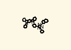 C1=Cc2c(c3cc4c5ccccc5n(-c5cccc(-c6nc(-c7ccccc7)nc(-c7ccc8ccccc8c7)n6)c5)c4cc3n2-c2ccccc2)CC1